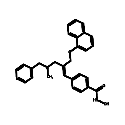 CN(CC(=Cc1ccc(C(=O)NO)cc1)COc1cccc2ccccc12)Cc1ccccc1